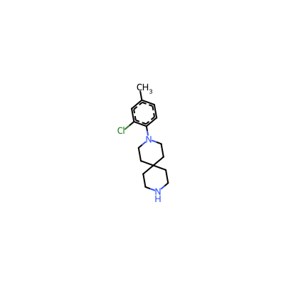 Cc1ccc(N2CCC3(CCNCC3)CC2)c(Cl)c1